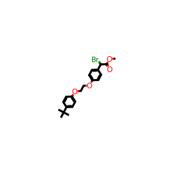 COC(=O)C(Br)c1ccc(OCCOc2ccc(C(C)(C)C)cc2)cc1